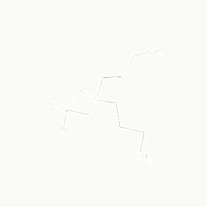 CCCC[Si]1(CCCC)C[Si](Br)(Br)C1